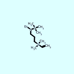 C=C[Si](C)(C)CCCN(CC)[Si](C)(C)C